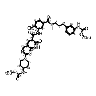 CC(C)(C)OC(=O)Nc1cccc(CCCNC(=O)c2ccc(Cl)c(NC(=O)c3cc4cnc(N5CCC(NC(=O)OC(C)(C)C)CC5)nc4[nH]c3=O)c2)c1